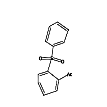 CC(=O)c1ccccc1S(=O)(=O)c1ccccc1